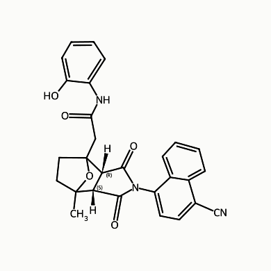 CC12CCC(CC(=O)Nc3ccccc3O)(O1)[C@@H]1C(=O)N(c3ccc(C#N)c4ccccc34)C(=O)[C@@H]12